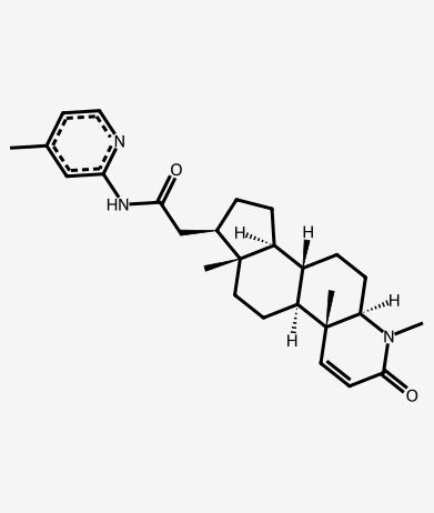 Cc1ccnc(NC(=O)C[C@H]2CC[C@H]3[C@@H]4CC[C@H]5N(C)C(=O)C=C[C@]5(C)[C@H]4CC[C@]23C)c1